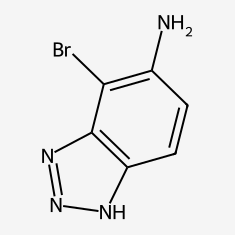 Nc1ccc2[nH]nnc2c1Br